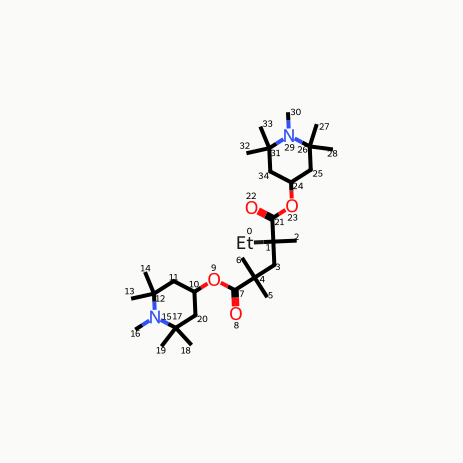 CCC(C)(CC(C)(C)C(=O)OC1CC(C)(C)N(C)C(C)(C)C1)C(=O)OC1CC(C)(C)N(C)C(C)(C)C1